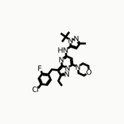 CCc1nn2c(N3CCOCC3)cc(Nc3cc(C)nn3C(C)(C)C)nc2c1Cc1ccc(Cl)cc1F